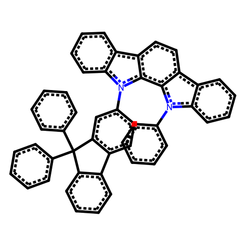 c1ccc(-n2c3ccccc3c3ccc4c5ccccc5n(-c5ccc6c(c5)C(c5ccccc5)(c5ccccc5)c5ccccc5-6)c4c32)cc1